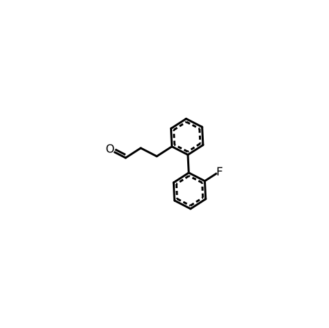 O=CCCc1ccccc1-c1ccccc1F